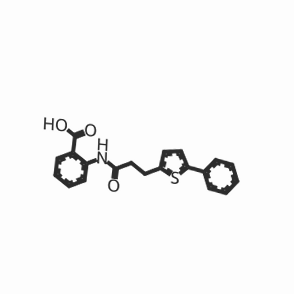 O=C(CCc1ccc(-c2ccccc2)s1)Nc1ccccc1C(=O)O